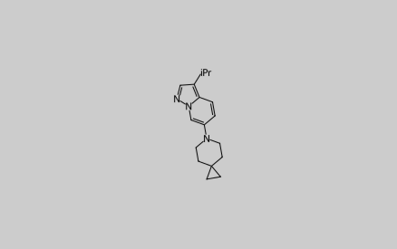 CC(C)c1cnn2cc(N3CCC4(CC3)CC4)ccc12